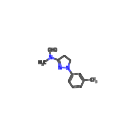 CN(C=O)C1=NN(c2cccc(C(F)(F)F)c2)CC1